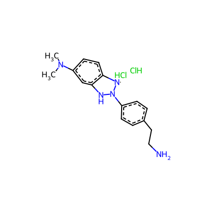 CN(C)c1ccc2c(c1)NN(c1ccc(CCN)cc1)[N]2.Cl.Cl